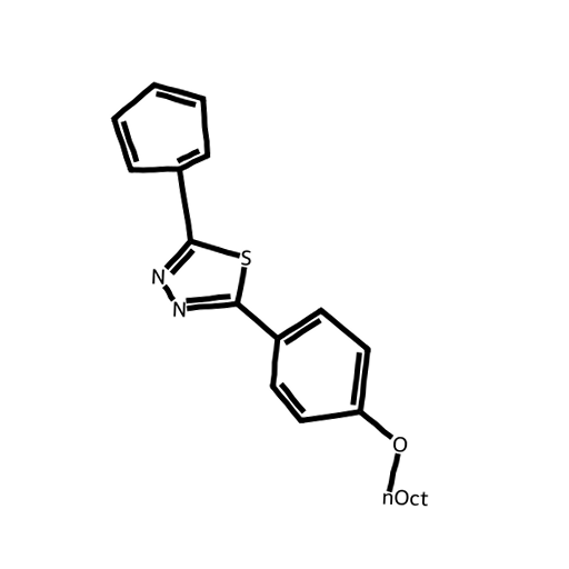 CCCCCCCCOc1ccc(-c2nnc(-c3ccccc3)s2)cc1